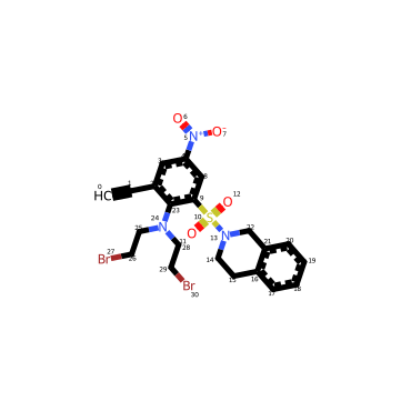 C#Cc1cc([N+](=O)[O-])cc(S(=O)(=O)N2CCc3ccccc3C2)c1N(CCBr)CCBr